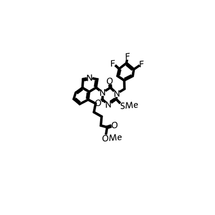 COC(=O)CCCCc1cccc2cncc(-n3c(=O)nc(SC)n(Cc4cc(F)c(F)c(F)c4)c3=O)c12